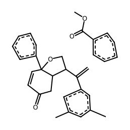 C=C(c1cc(C)cc(C)c1)C1COC2(c3ccccc3)C=CC(=O)CC12.COC(=O)c1ccccc1